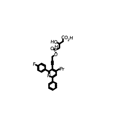 CC(C)c1cc(-c2ccccc2)nc(-c2ccc(F)cc2)c1C#CCO[PH](=O)CC(O)CC(=O)O